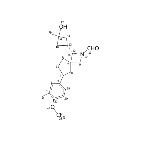 Cc1cc(C2CCC3(C2)CN(C=O)[C@H]3C2CC(C)(O)C2)ccc1OC(F)(F)F